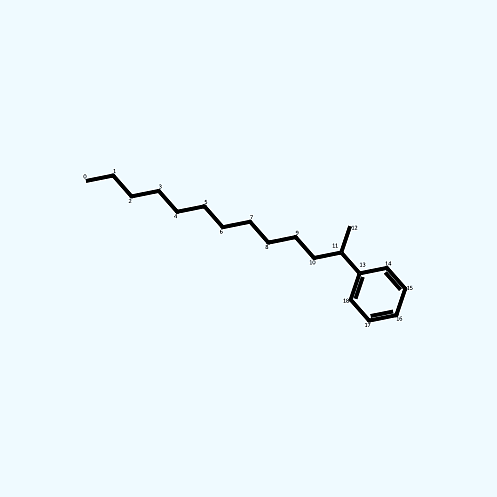 CCCCCCCCCCCC(C)c1[c]cccc1